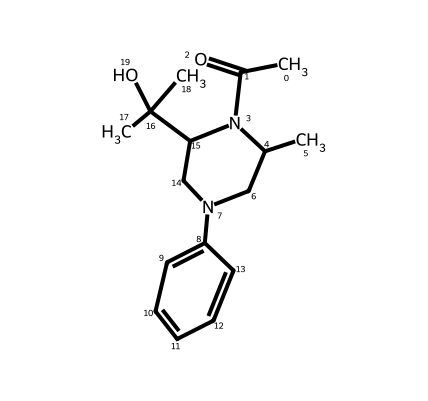 CC(=O)N1C(C)CN(c2ccccc2)CC1C(C)(C)O